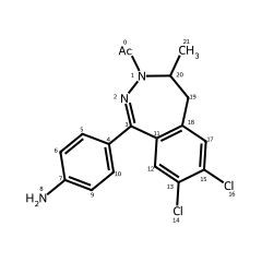 CC(=O)N1N=C(c2ccc(N)cc2)c2cc(Cl)c(Cl)cc2CC1C